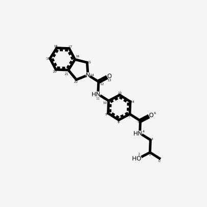 CC(O)CNC(=O)c1ccc(NC(=O)N2Cc3ccccc3C2)cc1